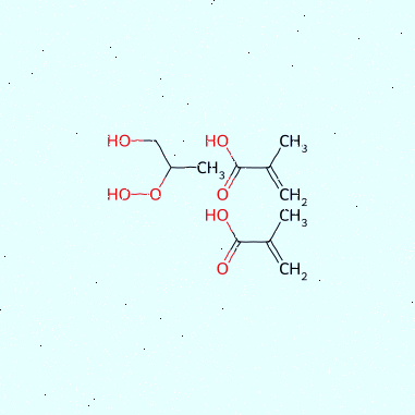 C=C(C)C(=O)O.C=C(C)C(=O)O.CC(CO)OO